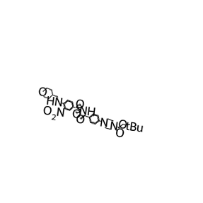 CC(C)(C)OC(=O)N1CCN(c2ccc(C(=O)NS(=O)(=O)c3ccc(NCC4CCOCC4)c([N+](=O)[O-])c3)cc2)CC1